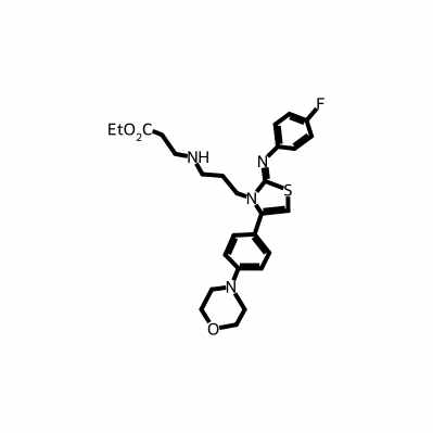 CCOC(=O)CCNCCCn1c(-c2ccc(N3CCOCC3)cc2)cs/c1=N\c1ccc(F)cc1